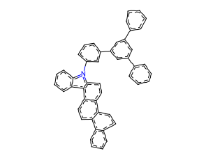 c1ccc(-c2cc(-c3ccccc3)cc(-c3cccc(-n4c5ccccc5c5c6ccc7c8ccccc8ccc7c6ccc54)c3)c2)cc1